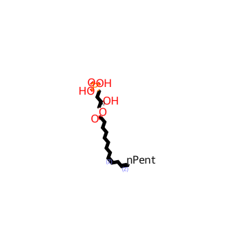 CCCCC/C=C\C/C=C\CCCCCCCC(=O)OC[C@@H](O)CCP(=O)(O)O